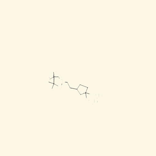 CCOC(=O)C1(C(=O)OCC)CCC(CCB2OC(C)(C)C(C)(C)O2)C1